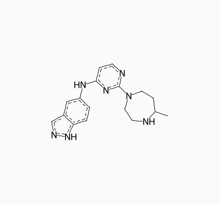 CC1CCN(c2nccc(Nc3ccc4[nH]ncc4c3)n2)CCN1